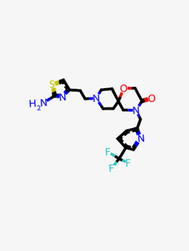 Nc1nc(CCN2CCC3(CC2)CN(Cc2ccc(C(F)(F)F)cn2)C(=O)CO3)cs1